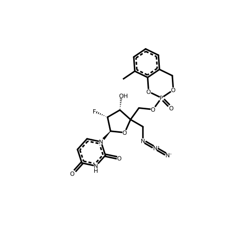 Cc1cccc2c1OP(=O)(OCC1(CN=[N+]=[N-])O[C@@H](n3ccc(=O)[nH]c3=O)[C@H](F)[C@@H]1O)OC2